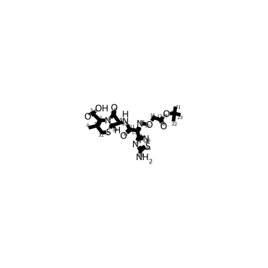 CC1=C(C(=O)O)N2C(=O)C(NC(=O)C(=NOCC(=O)OC(C)(C)C)c3nsc(N)n3)[C@@H]2SC1